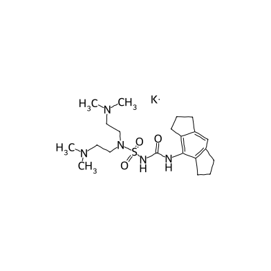 CN(C)CCN(CCN(C)C)S(=O)(=O)NC(=O)Nc1c2c(cc3c1CCC3)CCC2.[K]